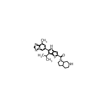 Cc1cc(-c2[nH]c3cc(C(=O)N4CCC5CCNCC54)sc3c2C(C)C)cn2ncnc12